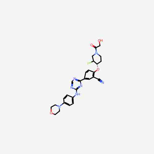 N#Cc1cc(-c2ncnc(Nc3ccc(N4CCOCC4)cc3)n2)ccc1O[C@H]1CCN(C(=O)CO)CC1F